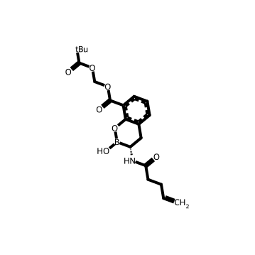 C=CCCC(=O)N[C@H]1Cc2cccc(C(=O)OCOC(=O)C(C)(C)C)c2OB1O